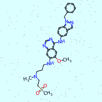 COc1cc2c(Nc3ccc4c(cnn4Cc4ccccc4)c3)ncnc2cc1NCCCN(C)CCS(C)(=O)=O